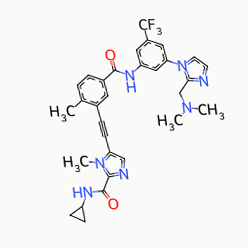 Cc1ccc(C(=O)Nc2cc(-n3ccnc3CN(C)C)cc(C(F)(F)F)c2)cc1C#Cc1cnc(C(=O)NC2CC2)n1C